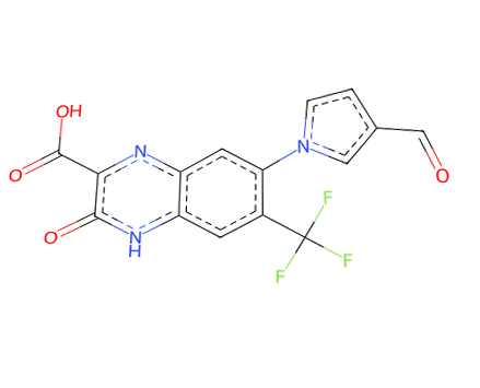 O=Cc1ccn(-c2cc3nc(C(=O)O)c(=O)[nH]c3cc2C(F)(F)F)c1